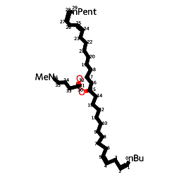 CCCC/C=C\C/C=C\CCCCCCCCCC(CCCCCCCC/C=C\C/C=C\CCCCC)OC(=O)CCCNC